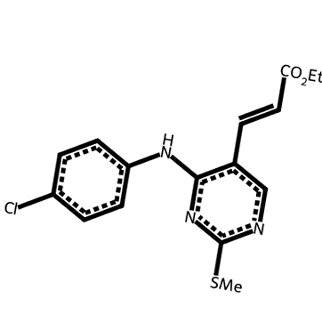 CCOC(=O)/C=C/c1cnc(SC)nc1Nc1ccc(Cl)cc1